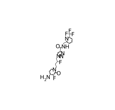 Nc1ccn(CCC(F)Cn2cc(C(=O)NCc3cccc(C(F)(F)F)n3)nn2)c(=O)c1F